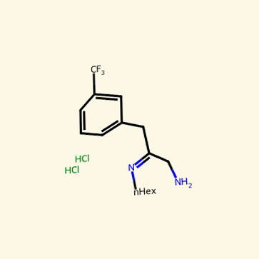 CCCCCCN=C(CN)Cc1cccc(C(F)(F)F)c1.Cl.Cl